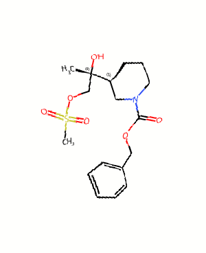 C[C@](O)(COS(C)(=O)=O)[C@H]1CCCN(C(=O)OCc2ccccc2)C1